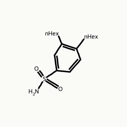 CCCCCCc1ccc(S(N)(=O)=O)cc1CCCCCC